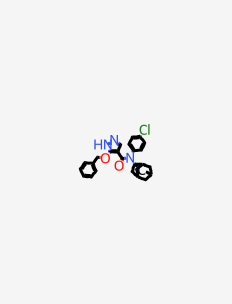 O=C(c1cn[nH]c1OCc1ccccc1)N(c1ccc(Cl)cc1)C12CC3CC(CC1C3)C2